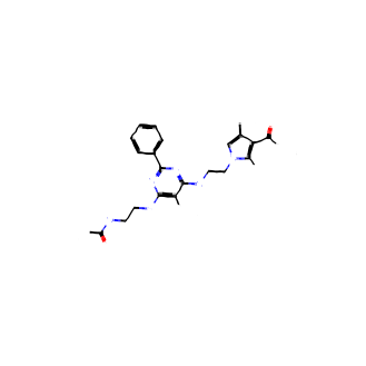 CC(=O)NCCNc1nc(-c2ccccc2)nc(NCCn2cc(C)c(C(C)=O)c2C)c1C